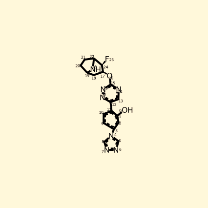 Oc1cc(-n2cnnc2)ccc1-c1cnc(O[C@H]2CC3CCC(N3)[C@H]2F)nn1